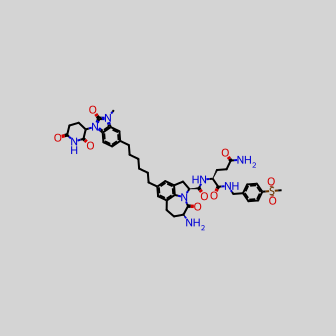 Cn1c(=O)n(C2CCC(=O)NC2=O)c2ccc(CCCCCCc3cc4c5c(c3)C[C@@H](C(=O)N[C@@H](CCC(N)=O)C(=O)NCc3ccc(S(C)(=O)=O)cc3)N5C(=O)[C@@H](N)CC4)cc21